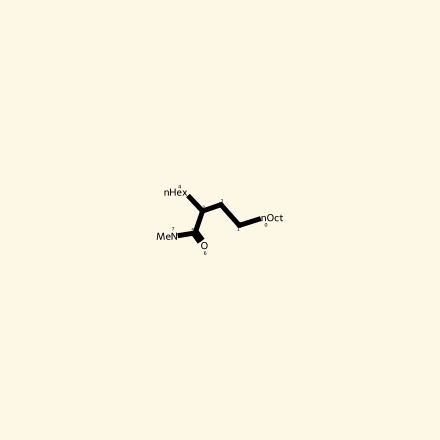 CCCCCCCCCCC(CCCCCC)C(=O)NC